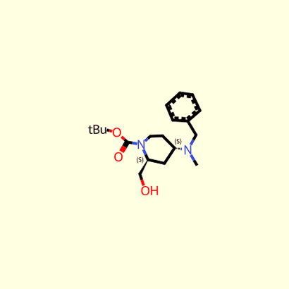 CN(Cc1ccccc1)[C@H]1CCN(C(=O)OC(C)(C)C)[C@H](CO)C1